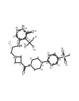 C[C@@H](CN1CC(C(=O)N2CCN(c3ncc(S(C)(=O)=O)cn3)CC2)C1)Nc1cn[nH]c(=O)c1C(F)(F)F